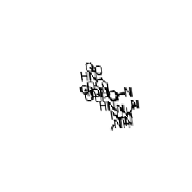 CCNc1nc(Nc2cc(C#N)cc(N3CC[C@H](NC(=O)OC)[C@@H](OP(=O)(O)O)C3)c2Cl)nn2c(C#N)cnc12